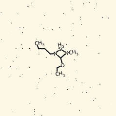 CCCCN1[SiH2]N(C)C1OCC